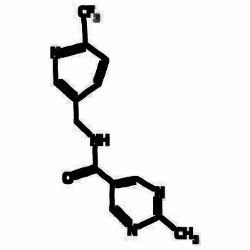 Cc1ncc(C(=O)NCc2ccc(C(F)(F)F)nc2)cn1